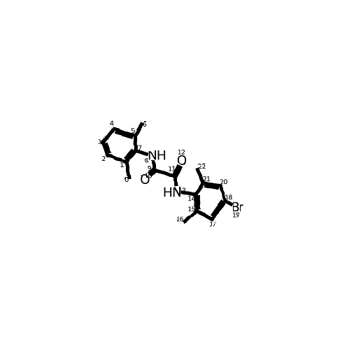 Cc1cccc(C)c1NC(=O)C(=O)Nc1c(C)cc(Br)cc1C